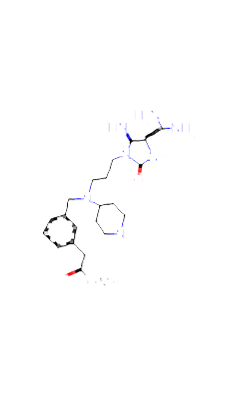 COC(=O)Cc1cccc(CN(CCCN2C(=N)C(=C(N)N)NC2=O)C2CCNCC2)c1